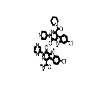 CN(C)C(=O)c1nn(-c2cnccn2)c(=O)c2c1c1ccc(Cl)cc1n2C.Cn1c2cc(Cl)ccc2c2c(C(=O)N3CCCCC3)nn(-c3ccncc3)c(=O)c21